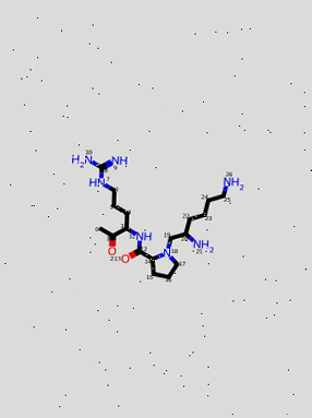 CC(=O)C(CCCNC(=N)N)NC(=O)C1CCCN1CC(N)CCCCN